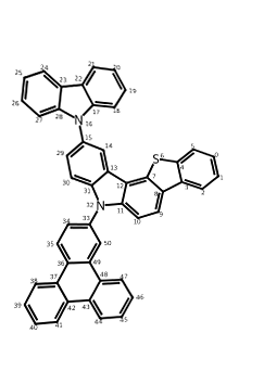 c1ccc2c(c1)sc1c2ccc2c1c1cc(-n3c4ccccc4c4ccccc43)ccc1n2-c1ccc2c3ccccc3c3ccccc3c2c1